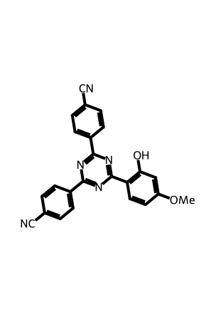 COc1ccc(-c2nc(-c3ccc(C#N)cc3)nc(-c3ccc(C#N)cc3)n2)c(O)c1